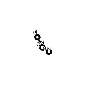 COc1ccc(-c2nc3c(o2)CCN(c2ccccn2)C3)cc1